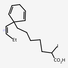 CC/C=C\C1(CCCCCC(I)C(=O)O)C=CCC=C1